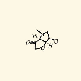 CN1C[C@@H](Cl)[C@H]2OCC(=O)[C@H]21